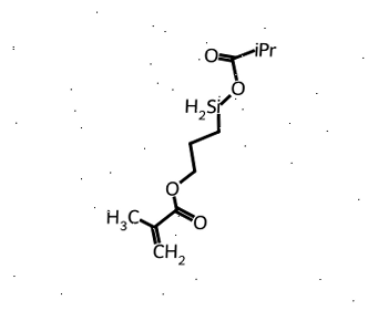 C=C(C)C(=O)OCCC[SiH2]OC(=O)C(C)C